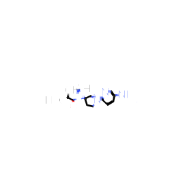 CC(C)C(=O)N(C)C1CCN(c2ccc(N)cn2)C1